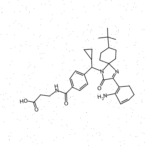 CC(C)(C)C1CCC2(CC1)N=C(C1=C(N)C=CCC1)C(=O)N2C(c1ccc(C(=O)NCCC(=O)O)cc1)C1CC1